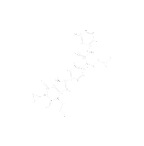 CCCn1c(=O)n(C2CC2)c(=O)c2[nH]c(-c3ccc(N(CCOC)C(=O)Nc4cccc(Cl)c4)nc3)nc21